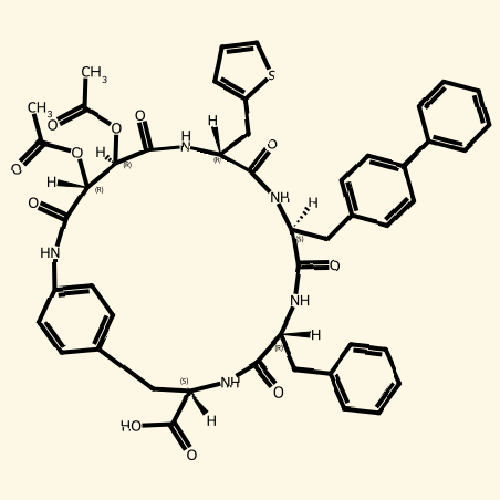 CC(=O)O[C@H]1C(=O)Nc2ccc(cc2)C[C@@H](C(=O)O)NC(=O)[C@@H](Cc2ccccc2)NC(=O)[C@H](Cc2ccc(-c3ccccc3)cc2)NC(=O)[C@@H](Cc2cccs2)NC(=O)[C@@H]1OC(C)=O